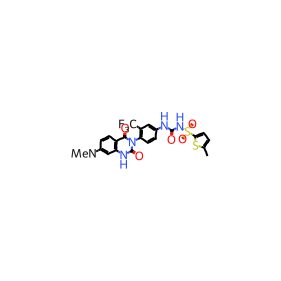 CNc1ccc2c(=O)n(-c3ccc(NC(=O)NS(=O)(=O)c4ccc(C)s4)cc3C(F)(F)F)c(=O)[nH]c2c1